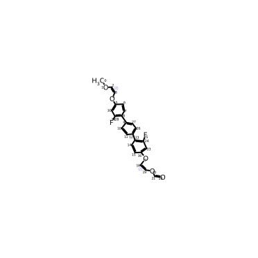 CO/C=C\Oc1ccc(-c2ccc(-c3ccc(O/C=C\OC=O)cc3F)cc2)c(F)c1